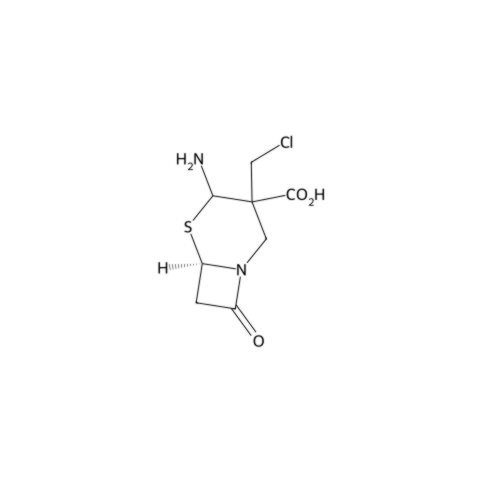 NC1S[C@@H]2CC(=O)N2CC1(CCl)C(=O)O